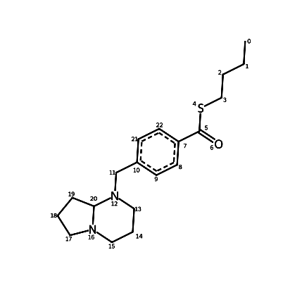 CCCCSC(=O)c1ccc(CN2CCCN3CCCC32)cc1